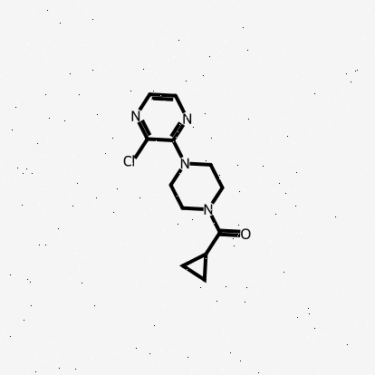 O=C(C1CC1)N1CCN(c2nccnc2Cl)CC1